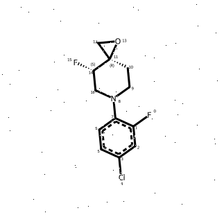 Fc1cc(Cl)ccc1N1CC[C@@]2(CO2)[C@@H](F)C1